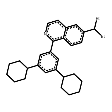 CCC(CC)c1ccc2c(-c3cc(C4CCCCC4)cc(C4CCCCC4)c3)nccc2c1